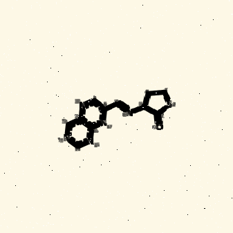 O=C1SCCC1N=Cc1cnc2cncnc2n1